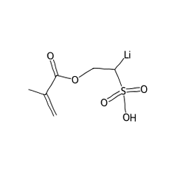 [Li][CH](COC(=O)C(=C)C)S(=O)(=O)O